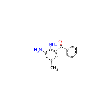 Cc1cc(N)c(N)c(C(=O)c2ccccc2)c1